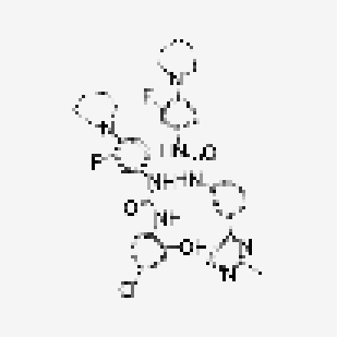 Cc1nccc(-c2cccc(NC(=O)Nc3ccc(N4CCCCC4)c(F)c3)c2)n1.O=C(Nc1ccc(N2CCCCC2)c(F)c1)Nc1ccc(Cl)cc1O